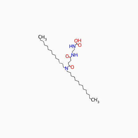 CCCCCCCCCCCCCCN(CCCCCCCCCCCCCC)C(=O)CCC(=O)NCCNC(=O)O